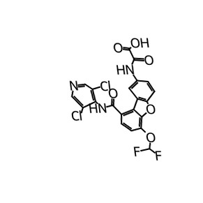 O=C(O)C(=O)Nc1ccc2oc3c(OC(F)F)ccc(C(=O)Nc4c(Cl)cncc4Cl)c3c2c1